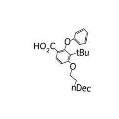 CCCCCCCCCCCCOc1ccc(C(=O)O)c(Oc2ccccc2)c1C(C)(C)C